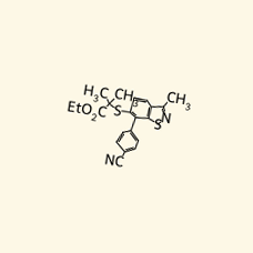 CCOC(=O)C(C)(C)Sc1ccc2c(C)nsc2c1-c1ccc(C#N)cc1